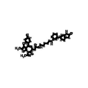 Cc1sc2c(c1C)C(c1ccc(Cl)cc1)=NC(CC(=O)NCCCCCNc1cc(-c3ccc4c(c3)NC(=O)C4)ccn1)c1nnc(C)n1-2